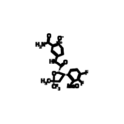 COc1c([C@@H]2C[C@](C)(C(F)(F)F)O[C@@H]2C(=O)Nc2cc[n+]([O-])c(C(N)=O)c2)ccc(F)c1F